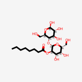 CCCCCCCC(=O)O[C@H]1[C@H](O[C@H]2[C@H](O)[C@@H](O)[C@H](O)O[C@@H]2CO)O[C@H](CO)[C@H](O)[C@@H]1O